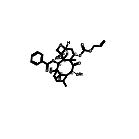 C=CCOC(=O)O[C@H]1C[C@H]2OC[C@@]2(OC(C)=O)[C@H]2[C@H](OC(=O)c3ccccc3)C3(O)CCC(C)C([C@H]3C)[C@@H](OC(C)=O)C(=O)C12C